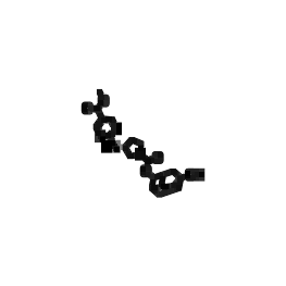 COC(=O)c1cnc(N[C@@H]2CCN(C(=O)OC3C4CC5CC3CC(O)(C5)C4)C2)nc1